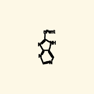 CCCCCc1nc2ncncc2[nH]1